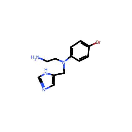 NCCN(Cc1cnc[nH]1)c1ccc(Br)cc1